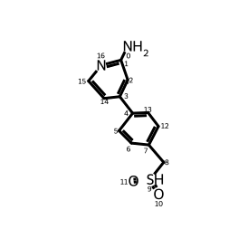 Nc1[c]c(-c2ccc(C[SH](=O)=O)cc2)ccn1